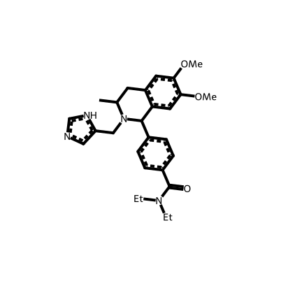 CCN(CC)C(=O)c1ccc(C2c3cc(OC)c(OC)cc3CC(C)N2Cc2cnc[nH]2)cc1